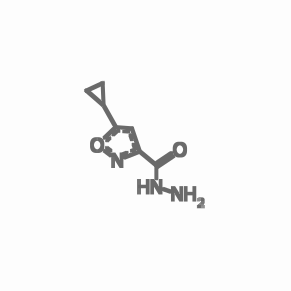 NNC(=O)c1cc(C2CC2)on1